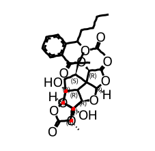 CCCCC(OC(C)=O)c1ccccc1C(=O)O[C@H]1C(=O)O[C@H]2O[C@]34C(=O)OC5C[C@@H](C(C)(C)C)C21[C@@]53[C@@H](O)[C@@H]1OC(=O)[C@@H](C)[C@@]14O